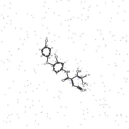 C#C/C=C(C(=O)Nc1ccc(Oc2ccc(Cl)cc2)c(Cl)c1)\C(O)=C(/C)F